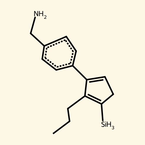 CCCC1=C([SiH3])CC=C1c1ccc(CN)cc1